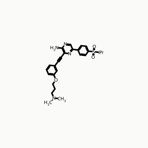 CC(C)S(=O)(=O)c1ccc(-c2cnc(N)c(C#Cc3cccc(OCCCN(C)C)c3)n2)cc1